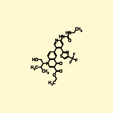 CCNC(=O)Nc1cc(-c2nc(C(F)(F)F)cs2)c(-c2ccc3c(c2)c(=O)c(C(=O)OCC)cn3[C@H](CO)C(C)C)cn1